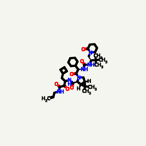 C=CCNC(=O)C(=O)C(CC1CCC1)NC(=O)[C@@H]1[C@@H]2[C@H](CN1C(=O)[C@@H](NC(=O)N[C@H](CN1CCCCC1=O)C(C)(C)C)C1CCCCC1)C2(C)C